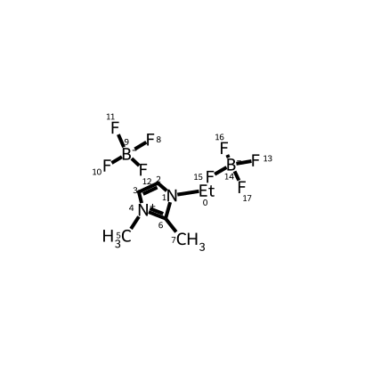 CCn1cc[n+](C)c1C.F[B-](F)(F)F.F[B-](F)(F)F